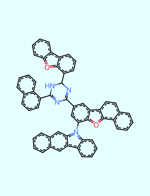 c1ccc2cc3c(cc2c1)c1ccccc1n3-c1cc(C2=NC(c3cccc4c3oc3ccccc34)NC(c3cccc4ccccc34)=N2)cc2c1oc1c3ccccc3ccc21